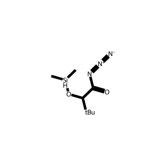 C[SiH](C)OC(C(=O)N=[N+]=[N-])C(C)(C)C